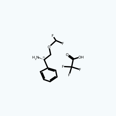 N[C@H](COC(F)F)c1ccccc1.O=C(O)C(F)(F)F